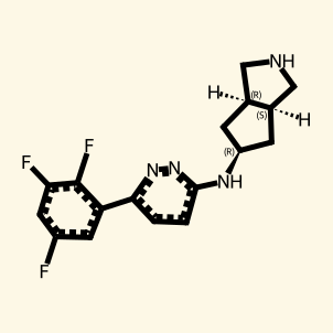 Fc1cc(F)c(F)c(-c2ccc(N[C@H]3C[C@H]4CNC[C@H]4C3)nn2)c1